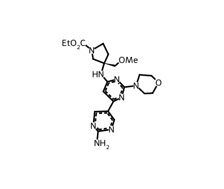 CCOC(=O)N1CC[C@](COC)(Nc2cc(-c3cnc(N)nc3)nc(N3CCOCC3)n2)C1